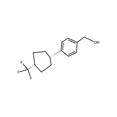 OCc1ccc([C@H]2CC[C@@H](C(F)(F)F)CC2)cc1